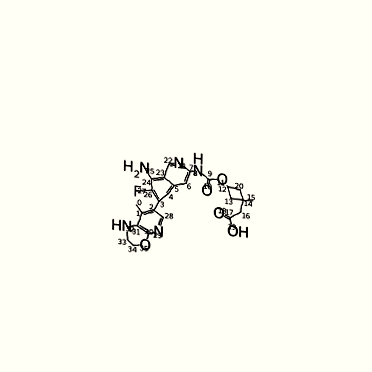 Cc1c(-c2cc3cc(NC(=O)OC4CC(C)(CC(=O)O)C4)ncc3c(N)c2F)cnc2c1NCCO2